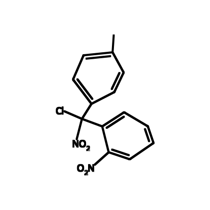 Cc1ccc(C(Cl)(c2ccccc2[N+](=O)[O-])[N+](=O)[O-])cc1